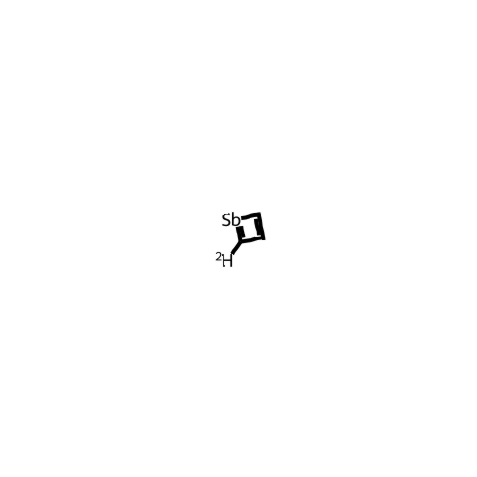 [2H][C]1=[Sb][CH]=C1